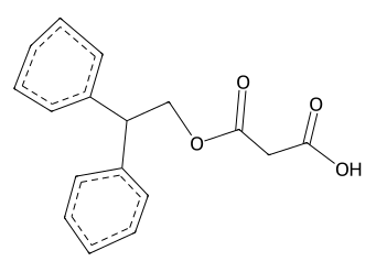 O=C(O)CC(=O)OCC(c1ccccc1)c1ccccc1